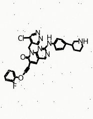 O=c1c(C#COc2ccccc2F)cc2cnc(Nc3ccc(C4CCCNC4)cc3)nc2n1Cc1cnncc1Cl